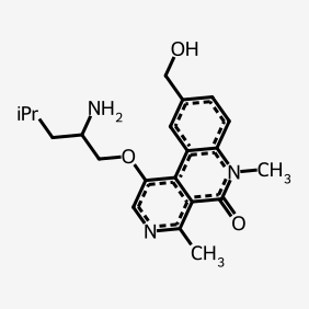 Cc1ncc(OCC(N)CC(C)C)c2c1c(=O)n(C)c1ccc(CO)cc21